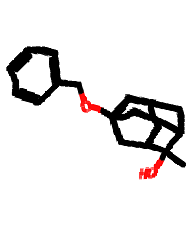 CC1(O)C2CC3CC1CC(OCc1ccccc1)(C3)C2